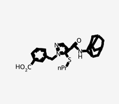 CCCSc1c(C(=O)NC2C3CC4CC(C3)CC2C4)cnn1Cc1cccc(C(=O)O)c1